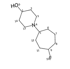 OC1CCN(C2CCCC(F)CC2)CC1